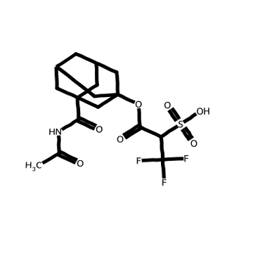 CC(=O)NC(=O)C12CC3CC(CC(OC(=O)C(C(F)(F)F)S(=O)(=O)O)(C3)C1)C2